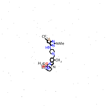 CC[C@@H](Cn1c(C#N)cc2c(C)c(CN3CCC(Nc4nc(NC)nc5sc(CC(F)(F)F)cc45)CC3)ccc21)N1C2CCC1CN(S(C)(=O)=O)C2